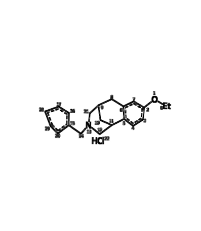 CCOc1ccc2c(c1)CC1CC2CN(Cc2ccccc2)C1.Cl